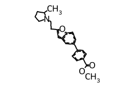 COC(=O)c1ccc(-c2ccc3oc(CCN4CCCC4C)cc3c2)cc1